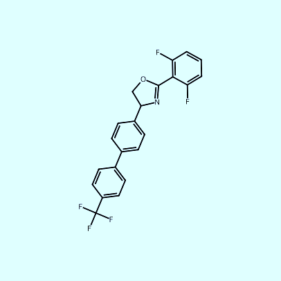 Fc1cccc(F)c1C1=NC(c2ccc(-c3ccc(C(F)(F)F)cc3)cc2)CO1